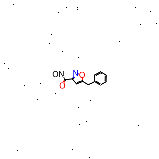 O=NC(=O)c1cc(Cc2ccccc2)on1